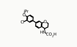 CC(C)Oc1ccc(-c2ccc3c(c2)OCCC3NC(=O)O)cc1Cl